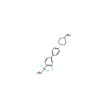 CCCCC(F)(F)c1ccc(-c2ccc([C@H]3CC[C@H](CCCC)CC3)cc2)cc1F